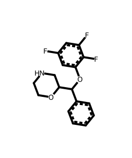 Fc1cc(F)c(F)c(OC(c2ccccc2)C2CNCCO2)c1